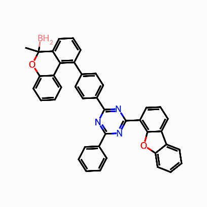 BC1(C)Oc2ccccc2-c2c(-c3ccc(-c4nc(-c5ccccc5)nc(-c5cccc6c5oc5ccccc56)n4)cc3)cccc21